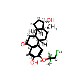 C[C@]12CC[C@@H]3c4cc(OC(F)(F)CF)c(O)cc4C(=O)C[C@H]3[C@@H]1CC[C@@H]2O